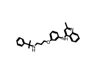 Cc1cc(Nc2cccc(OCCCNC(C)(C)c3ccccc3)c2)c2ccccc2n1